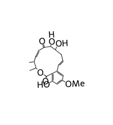 COc1cc(O)c2c(c1)/C=C/CC(O)C(O)C(=O)/C=C\C(C)C(C)OC2=O